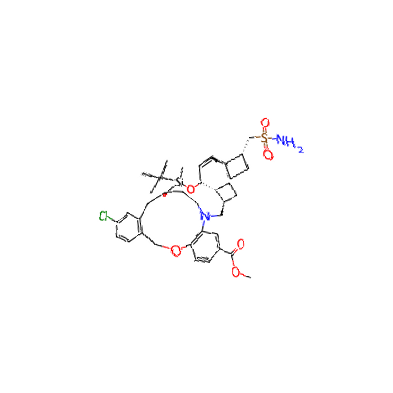 COC(=O)c1ccc2c(c1)N(C[C@@H]1CC[C@H]1C(/C=C\[C@@H]1CC[C@H]1CS(N)(=O)=O)O[Si](C)(C)C(C)(C)C)CCCCc1cc(Cl)ccc1CO2